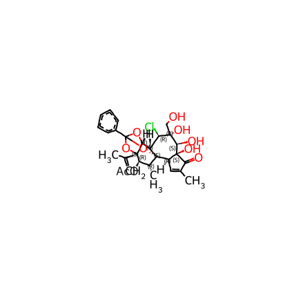 C=C(C)[C@@]12OC3(c4ccccc4)O[C@@H]1[C@@H]1[C@@H](Cl)[C@@](O)(CO)[C@@H](O)[C@]4(O)C(=O)C(C)=C[C@H]4[C@@]1(O3)[C@H](C)[C@H]2OC(C)=O